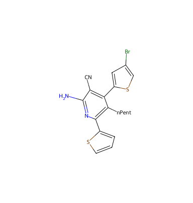 CCCCCc1c(-c2cccs2)nc(N)c(C#N)c1-c1cc(Br)cs1